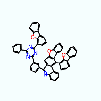 c1ccc(-c2nc(-c3cccc(-c4nc5ccccc5c5c(-c6cccc7c6oc6ccccc67)c6c(cc45)oc4ccccc46)c3)nc(-c3cccc4c3oc3ccccc34)n2)cc1